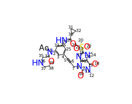 CC(=O)N(c1cc(C#CCn2c(=O)n(C)c(=O)c3c2nc(S(C)(=O)=O)n3C)cc(NC(=O)C2CC2)c1)C1CNCCO1